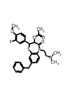 COc1ccc(C2Sc3cc(Cc4ccccc4)ccc3N(CCN(C)C)C(=O)C2OC(C)=O)cc1F